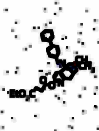 C/C=C1\C2C=C(C)CC1(/N=C/c1ccc(-c3ccccc3)cc1)c1ccc(OC(=O)CCC(=O)OCC)nc1C2